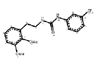 COc1cccc(CCNC(=O)Nc2cccc(C(F)(F)F)c2)c1OC